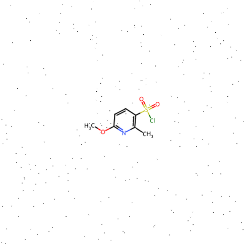 COc1ccc(S(=O)(=O)Cl)c(C)n1